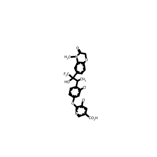 CC(c1ccc(Oc2ncc(C(=O)O)cc2Cl)cc1Cl)C(O)(c1ccc2c(c1)N(C)C(=O)CO2)C(F)(F)F